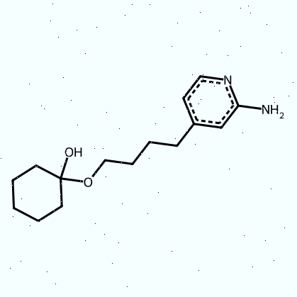 Nc1cc(CCCCOC2(O)CCCCC2)ccn1